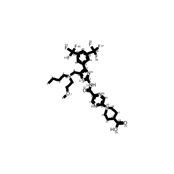 CCCCN(CCOC)Cc1sc(NC(=O)c2cnc(N3CCC(C(=O)O)CC3)cn2)nc1-c1cc(C(F)(F)F)cc(C(F)(F)F)c1